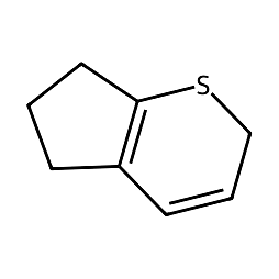 C1=CC2=C(CCC2)SC1